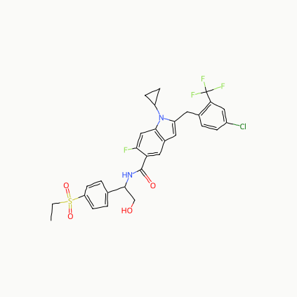 CCS(=O)(=O)c1ccc(C(CO)NC(=O)c2cc3cc(Cc4ccc(Cl)cc4C(F)(F)F)n(C4CC4)c3cc2F)cc1